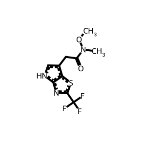 CON(C)C(=O)Cc1c[nH]c2nc(C(F)(F)F)sc12